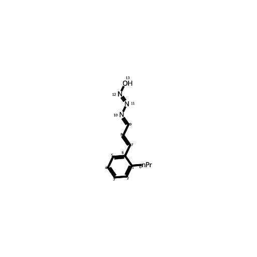 CCCc1ccccc1/C=C/C=N/N=N/O